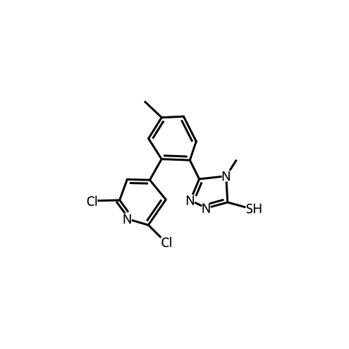 Cc1ccc(-c2nnc(S)n2C)c(-c2cc(Cl)nc(Cl)c2)c1